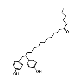 CCCCN(C)C(=O)CCCCCCCCCCCC(Cc1ccc(O)cc1)c1ccc(O)cc1